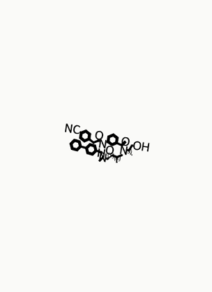 C[C@@H]1CN([C@@H](C)CO)C(=O)c2cccc(NC(=O)Cc3ccc(C#N)cc3)c2O[C@@H]1CN(C)Cc1ccc(-c2ccccc2)cc1